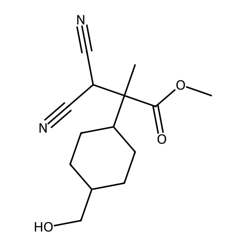 COC(=O)C(C)(C(C#N)C#N)C1CCC(CO)CC1